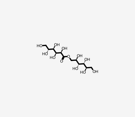 O=C(OC[C@@H](O)[C@@H](O)[C@H](O)[C@H](O)CO)[C@H](O)[C@@H](O)[C@H](O)[C@H](O)CO